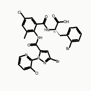 Cc1cc(Cl)cc(C(=O)N[C@@H](Cc2ccccc2Br)C(=O)O)c1NC(=O)c1cc(Br)nn1-c1ncccc1Cl